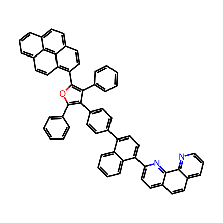 c1ccc(-c2oc(-c3ccc4ccc5cccc6ccc3c4c56)c(-c3ccccc3)c2-c2ccc(-c3ccc(-c4ccc5ccc6cccnc6c5n4)c4ccccc34)cc2)cc1